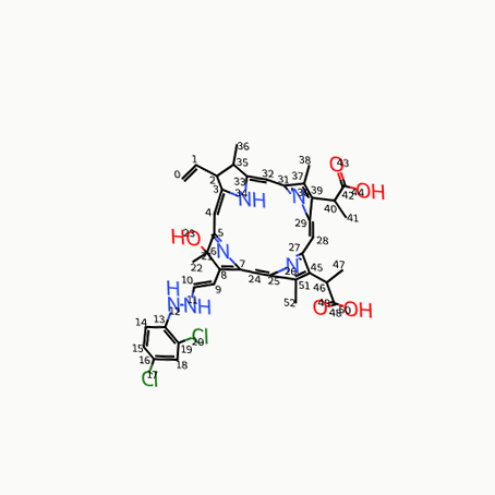 C=CC1C2=CC3=NC(=C(C=CNNc4ccc(Cl)cc4Cl)C3(C)O)C=C3N=C(C=C4N=C(C=C(N2)C1C)C(C)=C4C(C)C(=O)O)C(C(C)C(=O)O)=C3C